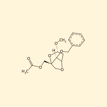 CO[C@@H]1CC2OC[C@](COC(C)=O)(O1)[C@H]2OCc1ccccc1